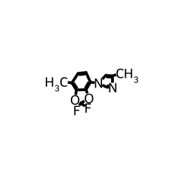 Cc1cn(-c2ccc(C)c3c2OC(F)(F)O3)cn1